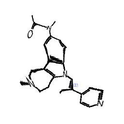 CC(=O)N(C)c1ccc2c(c1)c1c(n2/C=C(\C)c2ccncc2)CCN(C)C1